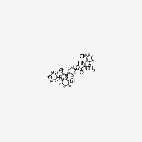 C[C@H](Nc1c(F)cccc1Cl)C(=O)Oc1ccc(-n2c(=O)n(C3CCOCC3)c3cccc(Cl)c32)cc1